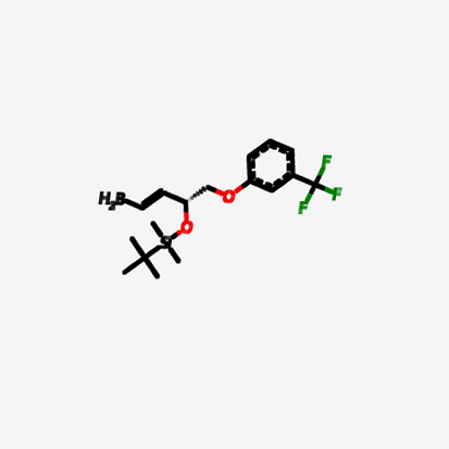 B/C=C/[C@H](COc1cccc(C(F)(F)F)c1)O[Si](C)(C)C(C)(C)C